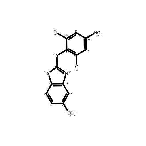 O=C(O)c1ccc2sc(Sc3c(Cl)cc([N+](=O)[O-])cc3Cl)nc2c1